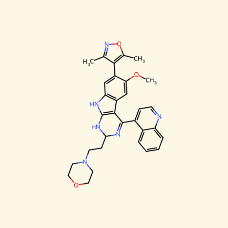 COc1cc2c3c([nH]c2cc1-c1c(C)noc1C)NC(CCN1CCOCC1)N=C3c1ccnc2ccccc12